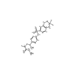 CN(CC(O)c1ccc(OS(=O)(=O)c2ccc3c(c2)CCC(C)(C)O3)cc1)C(=O)OC(C)(C)C